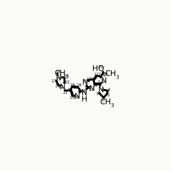 C[C@@H]1CCN(c2nc([C@@H](C)O)cc3cnc(Nc4ccc(CN5CCN(C)CC5)cn4)nc23)C1